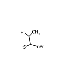 CCCC([S])C(C)CC